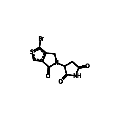 O=C1CC(N2Cc3c(csc3Br)C2=O)C(=O)N1